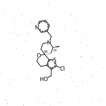 C[C@H]1C[C@@]2(CCN1Cc1cccnc1)OCCc1c2sc(Cl)c1CO